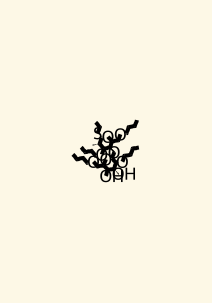 CCCCOCC1OC(O[C@@H]2C(COCCCC)OC(SCC)[C@@H](C)C2OCCCC)[C@@H](OCCCC)[C@H](O)C1O